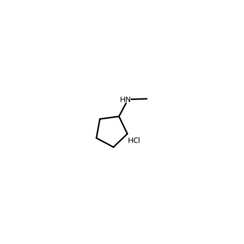 CNC1CCCC1.Cl